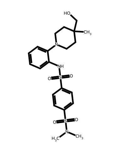 CN(C)S(=O)(=O)c1ccc(S(=O)(=O)Nc2ccccc2N2CCC(C)(CO)CC2)cc1